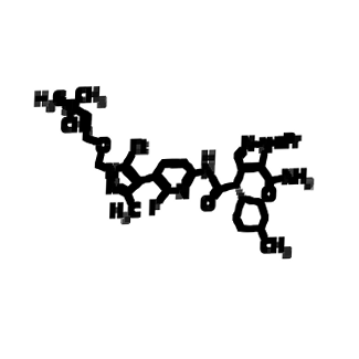 CCCn1ncc([C@@H](C(=O)Nc2ccc(-c3c(C)nn(COCC[Si](C)(C)C)c3CC)c(F)n2)C2CCC(C)CC2)c1C(N)=O